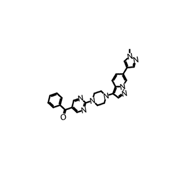 Cn1cc(-c2ccc3c(N4CCN(c5ncc(C(=O)c6ccccc6)cn5)CC4)cnn3c2)cn1